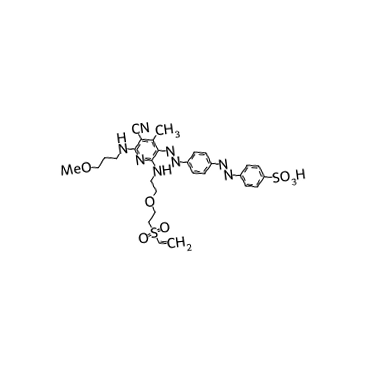 C=CS(=O)(=O)CCOCCNc1nc(NCCCOC)c(C#N)c(C)c1/N=N/c1ccc(/N=N/c2ccc(S(=O)(=O)O)cc2)cc1